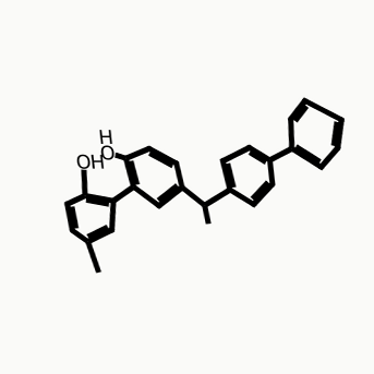 Cc1ccc(O)c(-c2cc(C(C)c3ccc(-c4ccccc4)cc3)ccc2O)c1